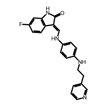 O=C1Nc2cc(F)ccc2/C1=C\Nc1ccc(NCCc2cccnc2)cc1